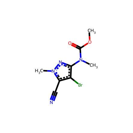 COC(=O)N(C)c1nn(C)c(C#N)c1Br